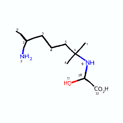 CC(N)CCCC(C)(C)NC(O)C(=O)O